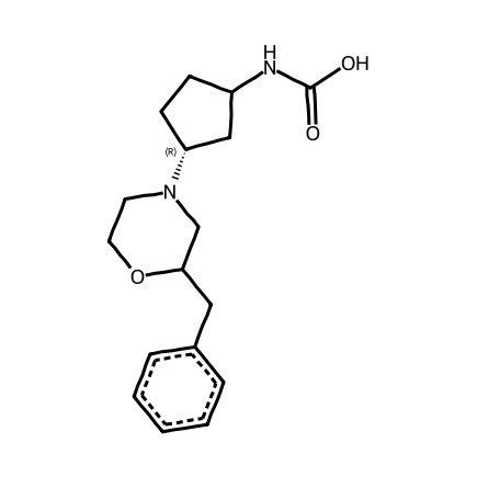 O=C(O)NC1CC[C@@H](N2CCOC(Cc3ccccc3)C2)C1